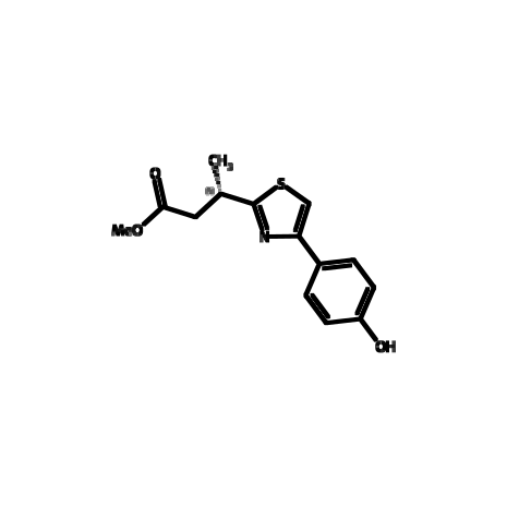 COC(=O)C[C@H](C)c1nc(-c2ccc(O)cc2)cs1